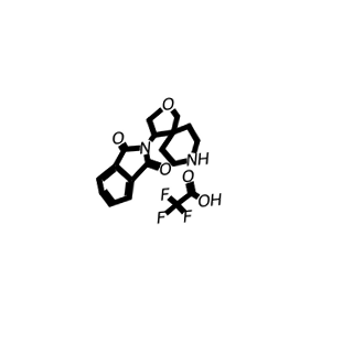 O=C(O)C(F)(F)F.O=C1c2ccccc2C(=O)N1C1COCC12CCNCC2